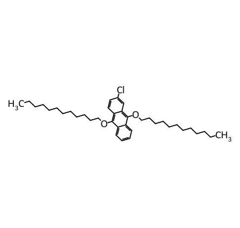 CCCCCCCCCCCCOc1c2ccccc2c(OCCCCCCCCCCCC)c2cc(Cl)ccc12